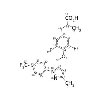 Cc1cc(COc2c(F)cc(CC(C)C(=O)O)cc2F)n(-c2ccc(C(F)(F)F)cc2)n1